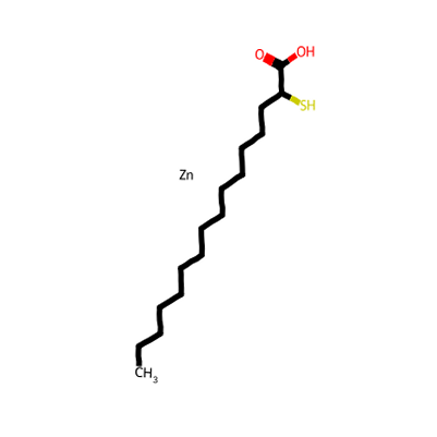 CCCCCCCCCCCCCCC(S)C(=O)O.[Zn]